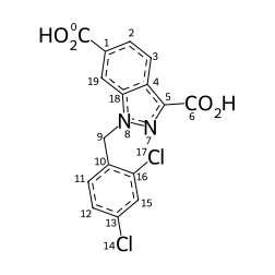 O=C(O)c1ccc2c(C(=O)O)nn(Cc3ccc(Cl)cc3Cl)c2c1